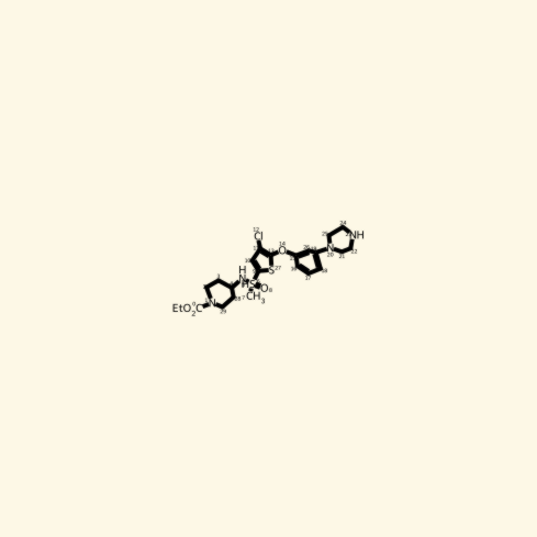 CCOC(=O)N1CCC(N[SH](C)(=O)c2cc(Cl)c(Oc3cccc(N4CCNCC4)c3)s2)CC1